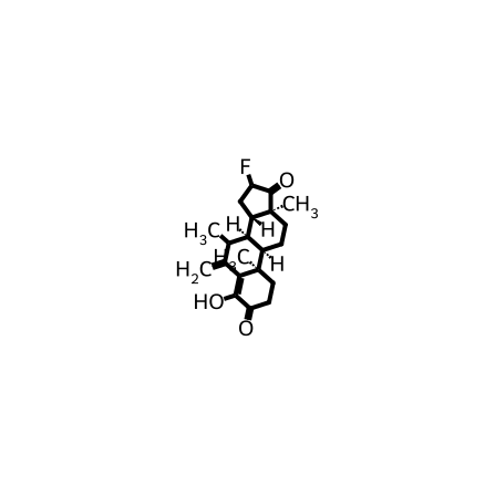 C=C1C2=C(O)C(=O)CC[C@]2(C)[C@@H]2CC[C@]3(C)C(=O)C(F)C[C@H]3[C@@H]2C1C